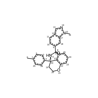 Cc1ccc([C@@]2(NC(=O)c3ccc4cnn(C)c4c3)CCOc3cccnc32)cc1